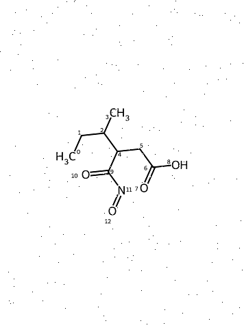 CCC(C)C(CC(=O)O)C(=O)N=O